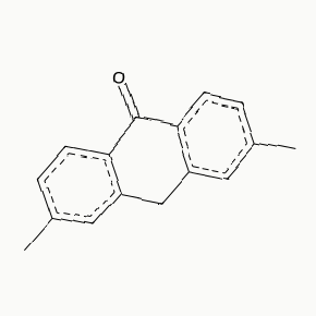 Cc1ccc2c(c1)Cc1cc(C)ccc1C2=O